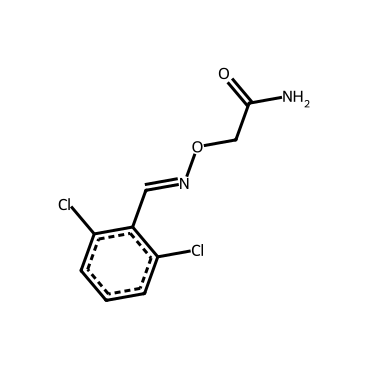 NC(=O)CON=Cc1c(Cl)cccc1Cl